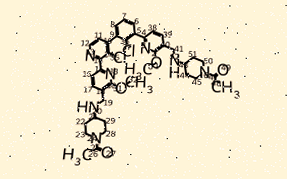 COc1nc(-c2cccc(-c3ccnc(-c4ccc(CNC5CCN(C(C)=O)CC5)c(OC)n4)c3Cl)c2Cl)ccc1CNC1CCN(C(C)=O)CC1